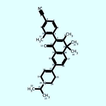 CC1=C(c2ccc(C#N)cc2C)C(=O)c2cc(C3=CCN(C(C)C)CC3)ccc2C1(C)C